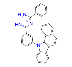 N=C(/N=C(\N)c1ccccc1)c1cccc(-n2c3ccccc3c3ccc4ccccc4c32)c1